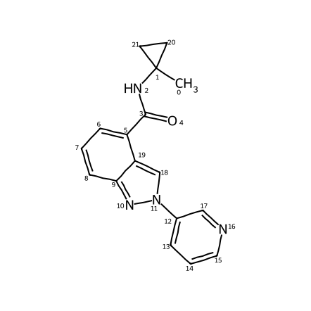 CC1(NC(=O)c2cccc3nn(-c4cccnc4)cc23)CC1